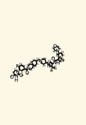 O=C1CCN(c2cc(C(=O)N3CCC4(CCC(CN5CCC(n6cc(NC(=O)c7cnn8ccc(N9CCOCC9)nc78)c(C(F)F)n6)CC5)CC4)CC3)ccc2F)C(=O)N1